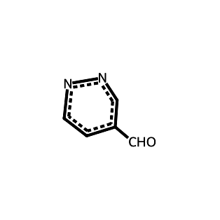 O=Cc1ccnnc1